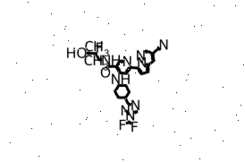 CC(C)(O)[C@H](F)CNC(=O)c1cnc(-c2ccc3cc(C#N)cnn23)cc1NC1CCC(c2ncn(C(F)F)n2)CC1